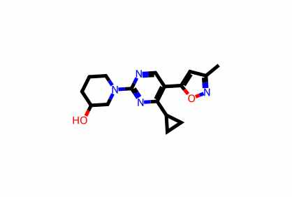 Cc1cc(-c2cnc(N3CCCC(O)C3)nc2C2CC2)on1